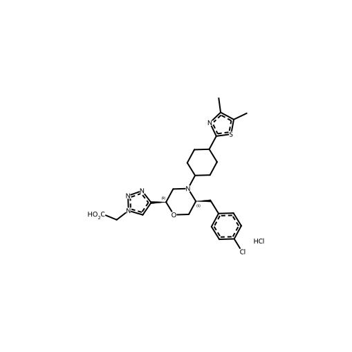 Cc1nc(C2CCC(N3C[C@H](c4cn(CC(=O)O)nn4)OC[C@@H]3Cc3ccc(Cl)cc3)CC2)sc1C.Cl